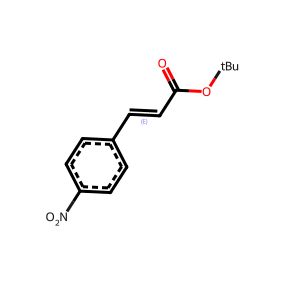 CC(C)(C)OC(=O)/C=C/c1ccc([N+](=O)[O-])cc1